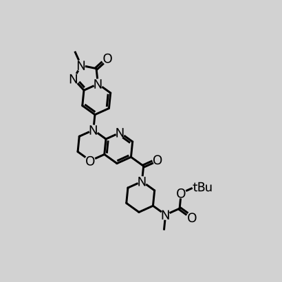 CN(C(=O)OC(C)(C)C)C1CCCN(C(=O)c2cnc3c(c2)OCCN3c2ccn3c(=O)n(C)nc3c2)C1